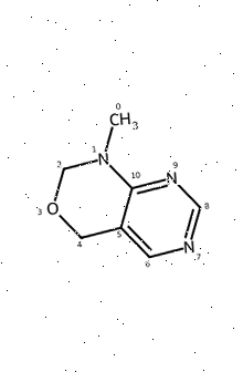 CN1COCc2cncnc21